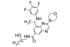 CC(Nc1cc(F)c(F)c(F)c1)c1cc(C(=O)NC[C@@H](C)O)cc2ncc(N3CCOCC3)nc12